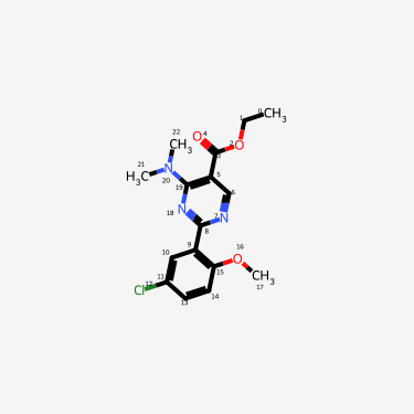 CCOC(=O)c1cnc(-c2cc(Cl)ccc2OC)nc1N(C)C